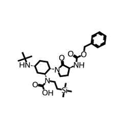 CC(C)(C)N[C@@H]1CC[C@H](N2CC[C@H](NC(=O)OCc3ccccc3)C2=O)[C@H](N(CC[Si](C)(C)C)C(=O)O)C1